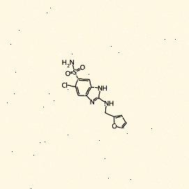 NS(=O)(=O)c1cc2[nH]c(NCc3ccco3)nc2cc1Cl